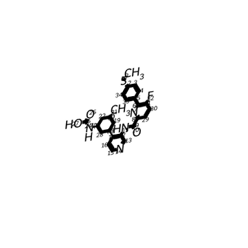 CSc1ccc(-c2nc(C(=O)Nc3cnccc3[C@@H]3C[C@H](C)C[C@H](NC(=O)O)C3)ccc2F)cc1